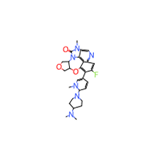 CN(C)C1CCN(C2C=CC(c3c(F)cc4ncc5c6c4c3OC3COCC3n6c(=O)n5C)=CN2C)CC1